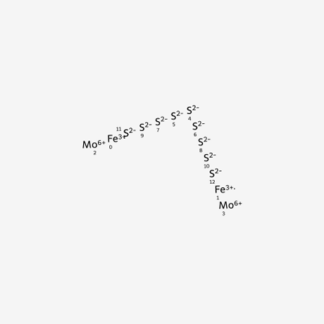 [Fe+3].[Fe+3].[Mo+6].[Mo+6].[S-2].[S-2].[S-2].[S-2].[S-2].[S-2].[S-2].[S-2].[S-2]